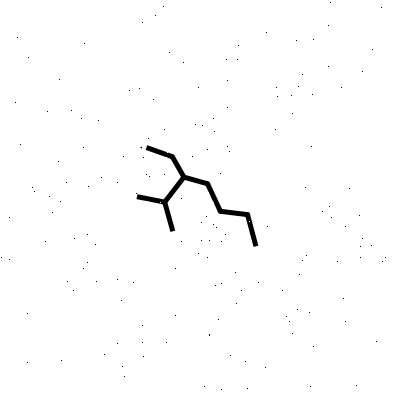 [CH2]CC(CCCC)C(C)C